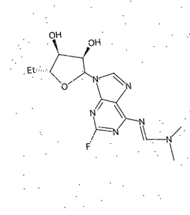 CC[C@H]1OC(n2cnc3c(/N=C/N(C)C)nc(F)nc32)[C@H](O)[C@@H]1O